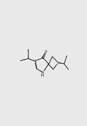 CC(C)N1CC2(C1)NCN(C(C)C)C2=O